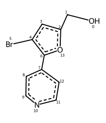 OCc1cc(Br)c(-c2ccncc2)o1